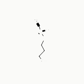 CCCCOS(=O)(=O)C#N